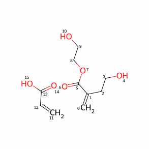 C=C(CCO)C(=O)OCCO.C=CC(=O)O